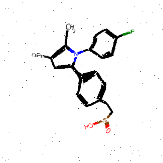 CCCc1cc(-c2ccc(CS(=O)O)cc2)n(-c2ccc(F)cc2)c1C